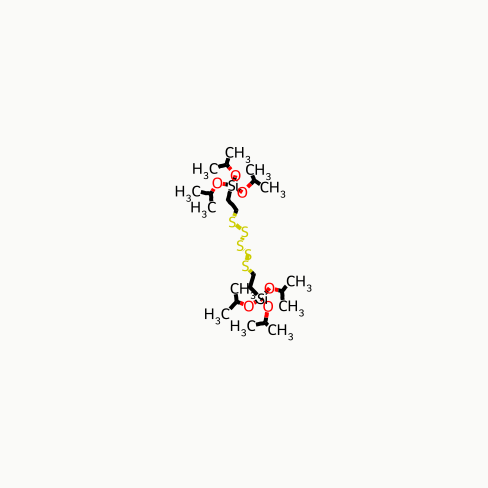 CC(C)O[Si](CCSSSSSCC[Si](OC(C)C)(OC(C)C)OC(C)C)(OC(C)C)OC(C)C